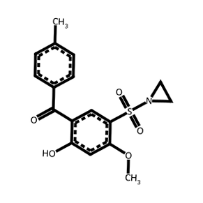 COc1cc(O)c(C(=O)c2ccc(C)cc2)cc1S(=O)(=O)N1CC1